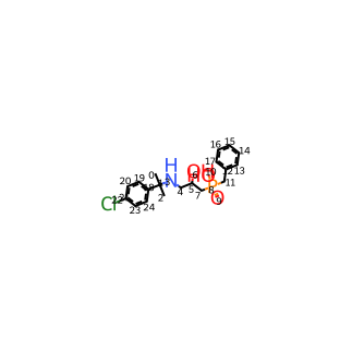 CC(C)(NCC(O)CP(=O)(O)Cc1ccccc1)c1ccc(Cl)cc1